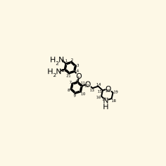 Nc1ccc(Oc2ccccc2OCCC2CNCCO2)cc1N